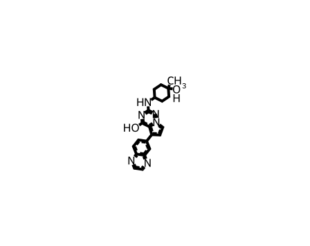 CC1(O)CCC(Nc2nc(O)c3c(-c4ccc5nccnc5c4)ccn3n2)CC1